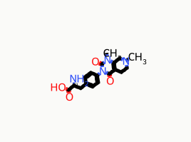 CN1CCc2c(n(C)c(=O)n(-c3ccc(C[C@H](N)C(=O)O)cc3)c2=O)C1